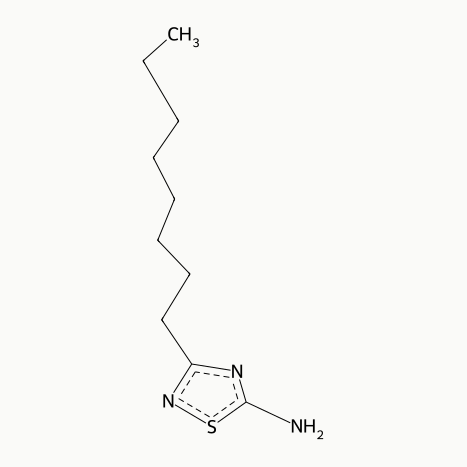 CCCCCCCCc1nsc(N)n1